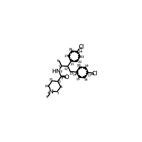 CC(NC(=O)C1CCN(C)CC1)C(Cc1ccc(Cl)cc1)c1ccc(Cl)cc1